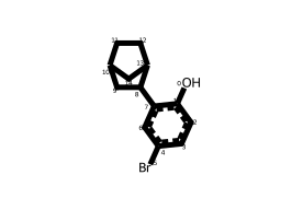 Oc1ccc(Br)cc1C1CC2CCC1C2